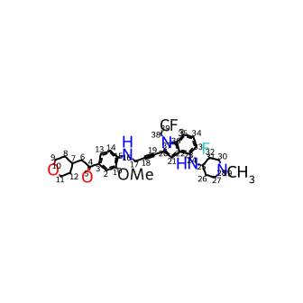 COc1cc(C(=O)CC2CCOCC2)ccc1NCC#Cc1cc2c(N[C@@H]3CCN(C)C[C@@H]3F)cccc2n1CC(F)(F)F